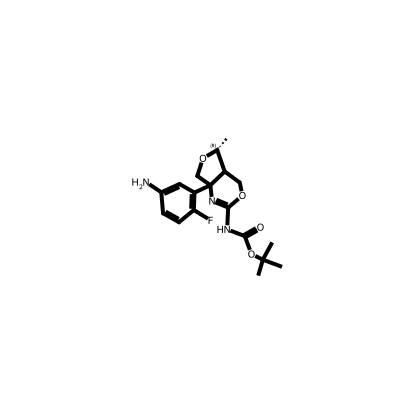 C[C@H]1OCC2(c3cc(N)ccc3F)N=C(NC(=O)OC(C)(C)C)OCC12